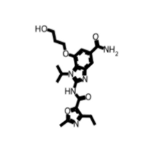 CCc1nc(C)oc1C(=O)Nc1nc2cc(C(N)=O)cc(OCCCO)c2n1C(C)C